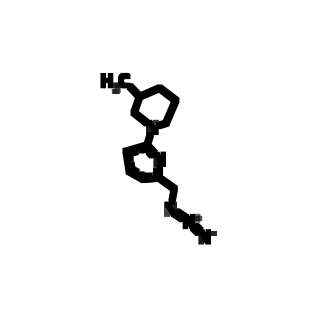 CC1CCCN(c2cccc(CN=[N+]=[N-])n2)C1